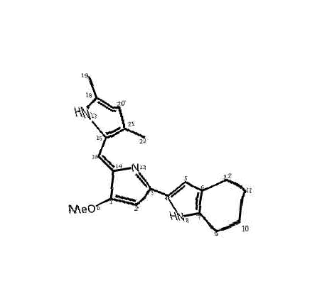 COC1=CC(c2cc3c([nH]2)CCCC3)=N/C1=C\c1[nH]c(C)cc1C